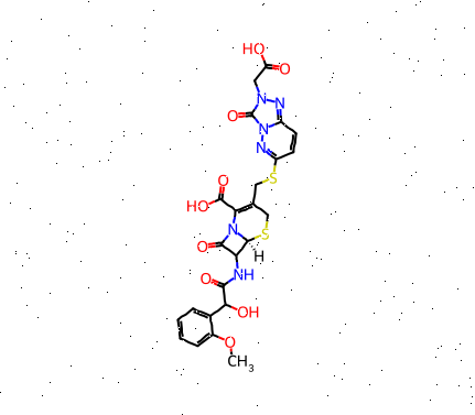 COc1ccccc1C(O)C(=O)NC1C(=O)N2C(C(=O)O)=C(CSc3ccc4nn(CC(=O)O)c(=O)n4n3)CS[C@@H]12